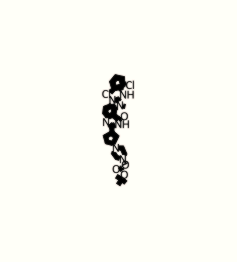 Cn1c(Nc2c(Cl)cccc2Cl)nc2ccc3nc(C4=CC(N5CCN(OC(=O)OC(C)(C)C)CC5)CC4)[nH]c(=O)c3c21